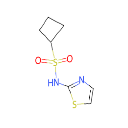 O=S(=O)(Nc1nccs1)C1CCC1